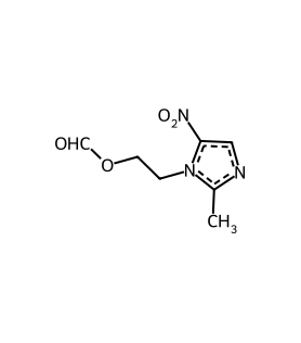 Cc1ncc([N+](=O)[O-])n1CCOC=O